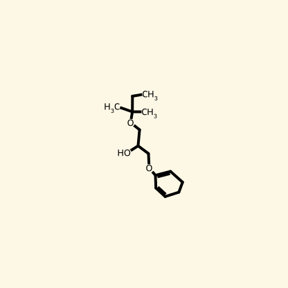 CCC(C)(C)OCC(O)COC1=CCCC=C1